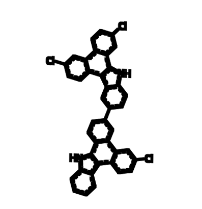 Clc1ccc2c(c1)c1cc(-c3ccc4[nH]c5c6cc(Cl)ccc6c6cc(Cl)ccc6c5c4c3)ccc1c1[nH]c3ccccc3c21